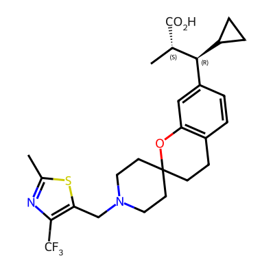 Cc1nc(C(F)(F)F)c(CN2CCC3(CCc4ccc([C@H](C5CC5)[C@H](C)C(=O)O)cc4O3)CC2)s1